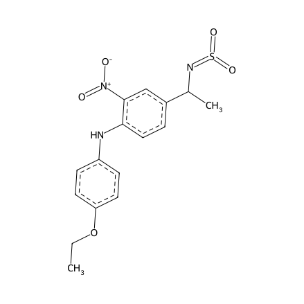 CCOc1ccc(Nc2ccc(C(C)N=S(=O)=O)cc2[N+](=O)[O-])cc1